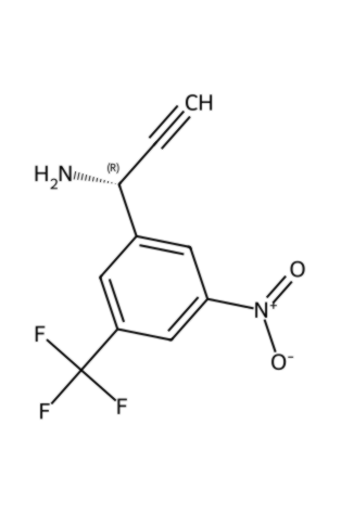 C#C[C@@H](N)c1cc([N+](=O)[O-])cc(C(F)(F)F)c1